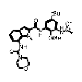 COc1c(NC(=O)c2cc3cccc(NC(=O)N4CCOCC4)c3n2C)cc(C(C)(C)C)cc1N[S+](C)[O-]